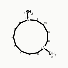 BN1CCCCCCCN(B)CCCC1